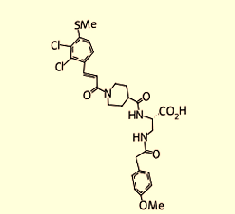 COc1ccc(CC(=O)NC[C@H](NC(=O)C2CCN(C(=O)/C=C/c3ccc(SC)c(Cl)c3Cl)CC2)C(=O)O)cc1